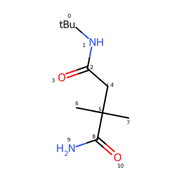 CC(C)(C)NC(=O)[CH]C(C)(C)C(N)=O